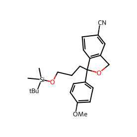 COc1ccc(C2(CCCO[Si](C)(C)C(C)(C)C)OCc3cc(C#N)ccc32)cc1